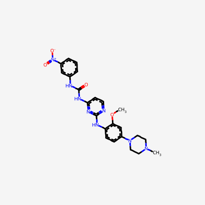 COc1cc(N2CCN(C)CC2)ccc1Nc1nccc(NC(=O)Nc2cccc([N+](=O)[O-])c2)n1